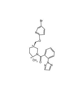 C[C@@H]1CC[C@@H](COc2ccc(Br)cn2)CN1C(=O)c1ccccc1-n1nccn1